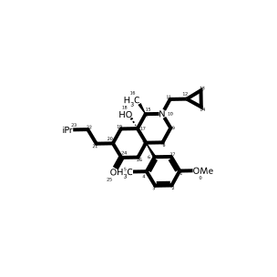 COc1ccc(C)c([C@]23CCN(CC4CC4)[C@H](C)[C@]2(O)CC(CCC(C)C)C(=O)C3)c1